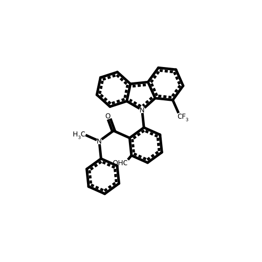 CN(C(=O)c1c(C=O)cccc1-n1c2ccccc2c2cccc(C(F)(F)F)c21)c1ccccc1